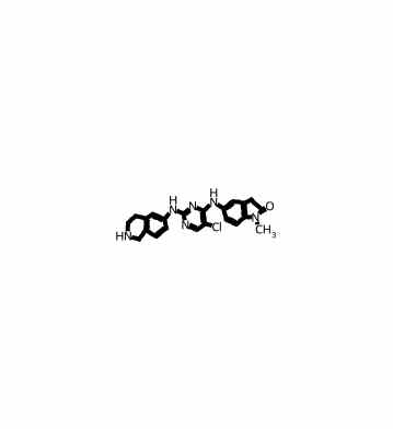 CN1C(=O)Cc2cc(Nc3nc(Nc4ccc5c(c4)CCNC5)ncc3Cl)ccc21